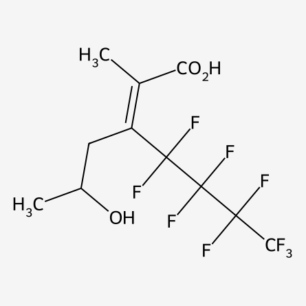 CC(C(=O)O)=C(CC(C)O)C(F)(F)C(F)(F)C(F)(F)C(F)(F)F